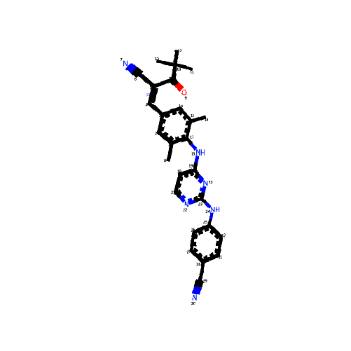 Cc1cc(/C=C(/C#N)C(=O)C(C)(C)C)cc(C)c1Nc1ccnc(Nc2ccc(C#N)cc2)n1